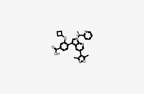 Cc1noc(C)c1-c1cnc2c(c1)c(-c1ccc(C(=O)O)cc1OC1CCC1)cn2[C@@H](C)c1ccccn1